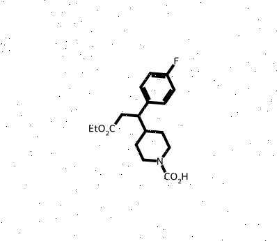 CCOC(=O)CC(c1ccc(F)cc1)C1CCN(C(=O)O)CC1